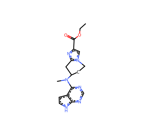 CCOC(=O)c1cn2c(n1)CC(N(C)c1ncnc3[nH]ccc13)CC2